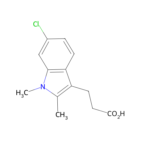 Cc1c(CCC(=O)O)c2ccc(Cl)cc2n1C